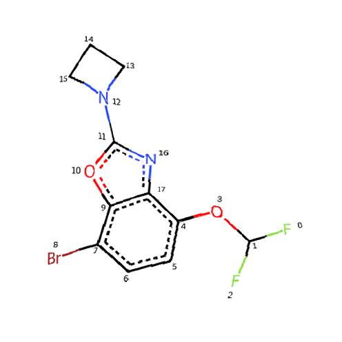 FC(F)Oc1ccc(Br)c2oc(N3CCC3)nc12